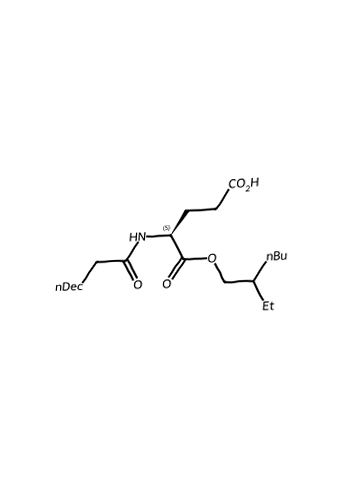 CCCCCCCCCCCC(=O)N[C@@H](CCC(=O)O)C(=O)OCC(CC)CCCC